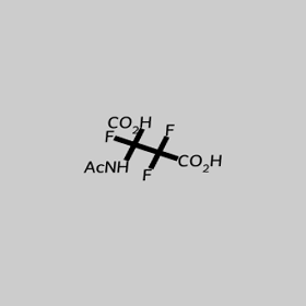 CC(=O)NC(F)(C(=O)O)C(F)(F)C(=O)O